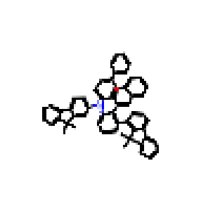 CC1(C)c2ccccc2-c2ccc(N(c3ccc(-c4ccccc4)cc3)c3cccc(-c4cccc5c4C(C)(C)c4ccccc4-5)c3-c3ccc4ccccc4c3)cc21